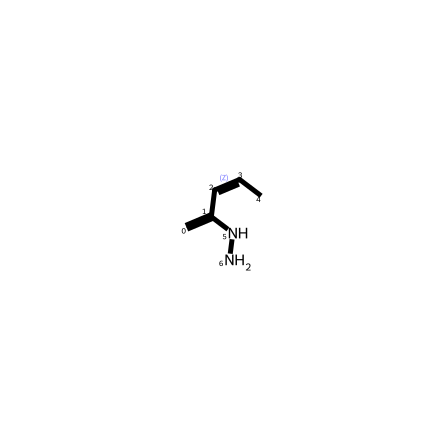 C=C(/C=C\C)NN